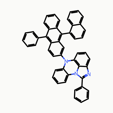 c1ccc(-c2c3ccccc3c(-c3cccc4ccccc34)c3cc(N4c5ccccc5-n5c(-c6ccccc6)nc6cccc4c65)ccc23)cc1